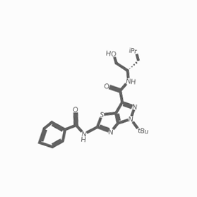 CC(C)C[C@@H](CO)NC(=O)c1nn(C(C)(C)C)c2nc(NC(=O)c3ccccc3)sc12